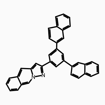 c1ccc2cc(-c3cc(-c4ccc5ccccc5c4)cc(-c4cc5cc6ccccc6cn5n4)c3)ccc2c1